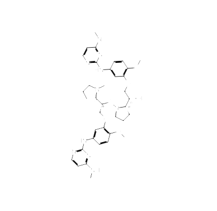 CNc1ccnc(Nc2ccc(OC)c(OC[C@H](ON3CCC[C@@H]3[C@@H](O)COc3cc(Nc4nccc(NC)n4)ccc3OC)[C@@H]3CCCN3C)c2)n1